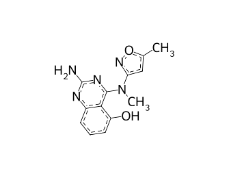 Cc1cc(N(C)c2nc(N)nc3cccc(O)c23)no1